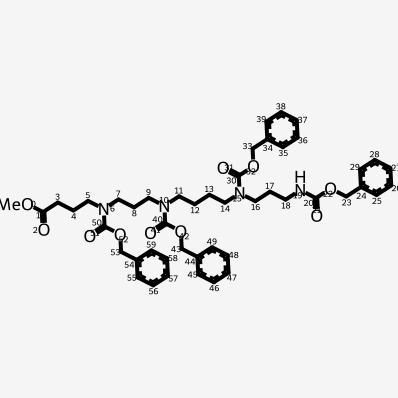 COC(=O)CCCN(CCCN(CCCCN(CCCNC(=O)OCc1ccccc1)C(=O)OCc1ccccc1)C(=O)OCc1ccccc1)C(=O)OCc1ccccc1